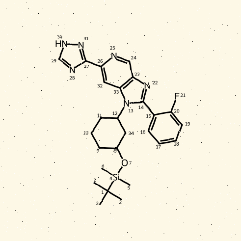 CC(C)(C)[Si](C)(C)OC1CCCC(n2c(-c3ccccc3F)nc3cnc(-c4nc[nH]n4)cc32)C1